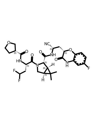 CC1(C)[C@@H]2[C@@H](C(=O)N[C@H](C#N)C[C@@H]3Oc4ccc(F)cc4NC3=O)N(C(=O)[C@H](CC(F)F)NC(=O)[C@@H]3CCOC3)C[C@@H]21